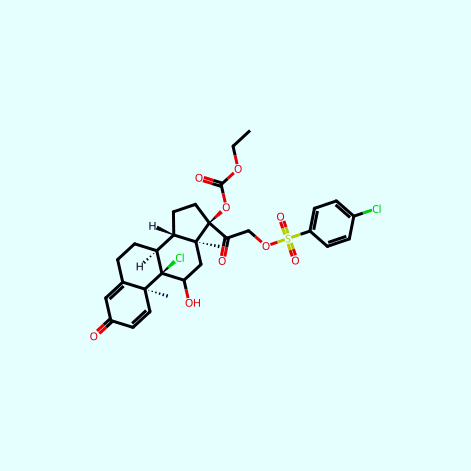 CCOC(=O)O[C@]1(C(=O)COS(=O)(=O)c2ccc(Cl)cc2)CC[C@H]2[C@@H]3CCC4=CC(=O)C=C[C@]4(C)[C@@]3(Cl)C(O)C[C@@]21C